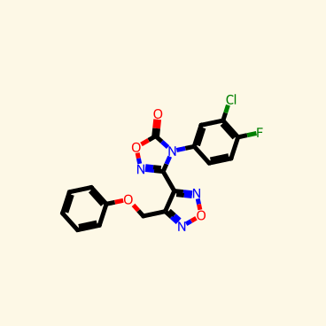 O=c1onc(-c2nonc2COc2ccccc2)n1-c1ccc(F)c(Cl)c1